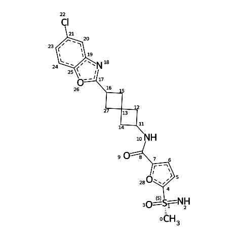 C[S@](=N)(=O)c1ccc(C(=O)NC2CC3(C2)CC(c2nc4cc(Cl)ccc4o2)C3)o1